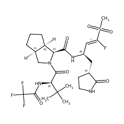 CC(C)(C)[C@@H](NC(=O)C(F)(F)F)C(=O)N1C[C@H]2CCC[C@H]2[C@H]1C(=O)N[C@@H](/C=C(\F)S(C)(=O)=O)C[C@H]1CCNC1=O